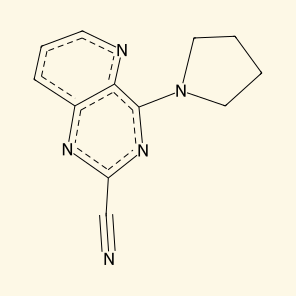 N#Cc1nc(N2CCCC2)c2ncccc2n1